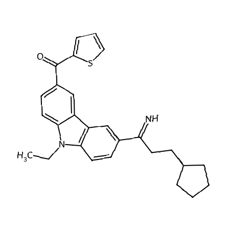 CCn1c2ccc(C(=N)CCC3CCCC3)cc2c2cc(C(=O)c3cccs3)ccc21